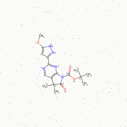 COc1cc(-c2ncc3c(n2)N(C(=O)OC(C)(C)C)C(=O)C3(C)C)n[nH]1